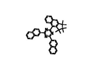 CC1(C)c2cc3ccccc3c(-c3nc(-c4ccc5ccccc5c4)nc(-c4ccc5ccccc5c4)n3)c2C(C)(C)C1(C)C